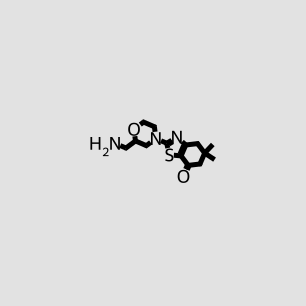 CC1(C)CC(=O)c2sc(N3CCOC(CN)C3)nc2C1